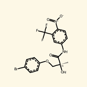 C[C@](O)(COc1ccc(Br)cc1)C(=O)Nc1ccc([N+](=O)[O-])c(C(F)(F)F)c1